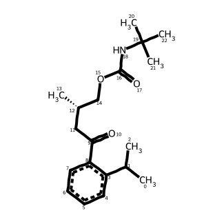 CC(C)c1ccccc1C(=O)C[C@H](C)COC(=O)NC(C)(C)C